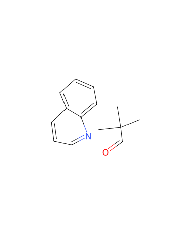 CC(C)(C)C=O.c1ccc2ncccc2c1